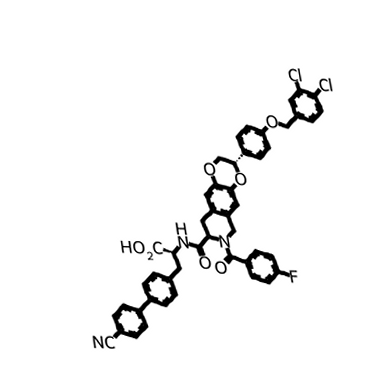 N#Cc1ccc(-c2ccc(C[C@H](NC(=O)C3Cc4cc5c(cc4CN3C(=O)c3ccc(F)cc3)O[C@@H](c3ccc(OCc4ccc(Cl)c(Cl)c4)cc3)CO5)C(=O)O)cc2)cc1